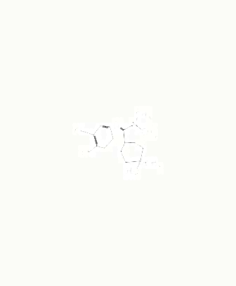 CN(C)C(=O)[C@]1(C2C=CC(Cl)=C(Cl)C2)CC[C@](C)(O)CC1